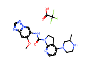 COc1cc2ncnn2cc1NC(=O)N1CCc2c(N3CCN[C@H](C)C3)ccnc21.O=C(O)C(F)(F)F